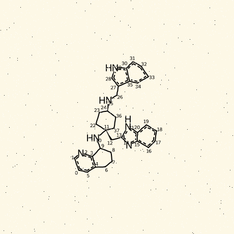 c1cnc2c(c1)CCCC2N[C@]1(Cc2nc3ccccc3[nH]2)CC[C@@H](NCc2c[nH]c3ccccc23)CC1